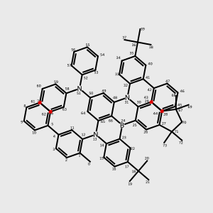 Cc1ccc(-c2ccccc2)cc1N1c2ccc(C(C)(C)C)cc2B2c3cc4c(cc3N(c3ccc(C(C)(C)C)cc3-c3ccccc3)c3cc(N(c5ccccc5)c5ccccc5)cc1c32)C(C)(C)CC4(C)C